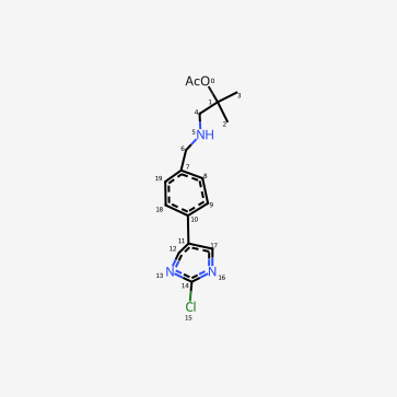 CC(=O)OC(C)(C)CNCc1ccc(-c2cnc(Cl)nc2)cc1